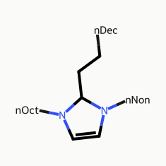 CCCCCCCCCCCCC1N(CCCCCCCC)C=CN1CCCCCCCCC